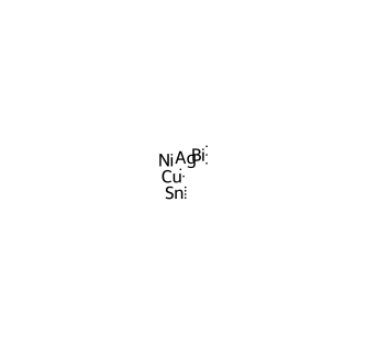 [Ag].[Bi].[Cu].[Ni].[Sn]